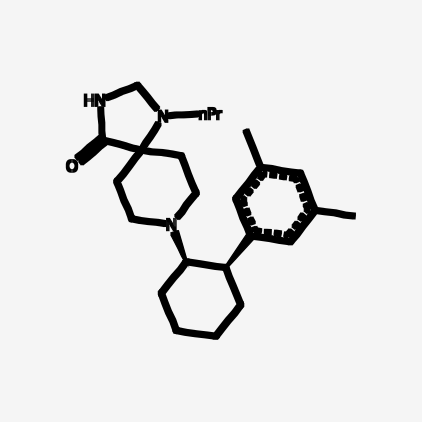 CCCN1CNC(=O)C12CCN([C@@H]1CCCC[C@@H]1c1cc(C)cc(C)c1)CC2